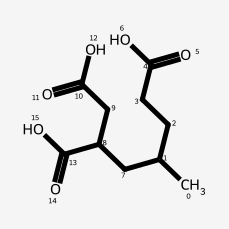 CC(CCC(=O)O)CC(CC(=O)O)C(=O)O